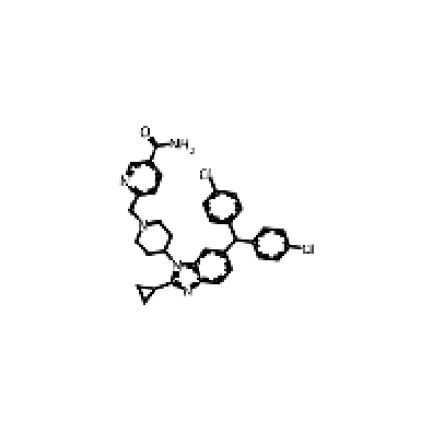 NC(=O)c1ccc(CN2CCC(n3c(C4CC4)nc4ccc(C(c5ccc(Cl)cc5)c5ccc(Cl)cc5)cc43)CC2)nc1